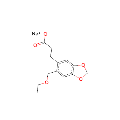 CCOCc1cc2c(cc1CCC(=O)[O-])OCO2.[Na+]